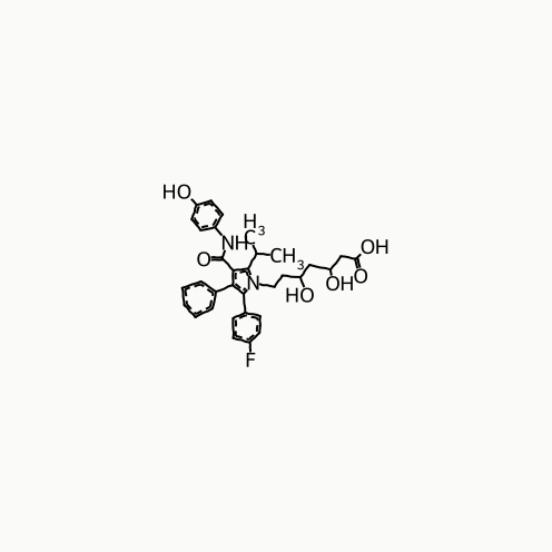 CC(C)c1c(C(=O)Nc2ccc(O)cc2)c(-c2ccccc2)c(-c2ccc(F)cc2)n1CCC(O)CC(O)CC(=O)O